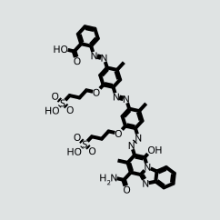 Cc1cc(N=Nc2c(C)c(C(N)=O)c3nc4ccccc4n3c2O)c(OCCCS(=O)(=O)O)cc1N=Nc1cc(C)c(N=Nc2ccccc2C(=O)O)cc1OCCCS(=O)(=O)O